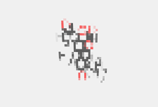 CC1(C)C(=O)C=C[C@@]2(C)C1CC[C@]1(C)C2CC[C@@]2(C)[C@H](c3ccoc3)OC(=O)[C@H]3O[C@]321